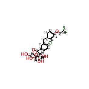 OCC12OC(c3ccc(Cl)c(Cc4ccc(OCC(F)F)cc4)c3)(O1)[C@H](O)[C@@H](O)[C@@H]2O